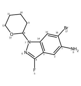 Nc1cc2c(F)nn(C3CCCCO3)c2cc1Br